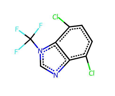 FC(F)(F)n1cnc2c(Cl)ccc(Cl)c21